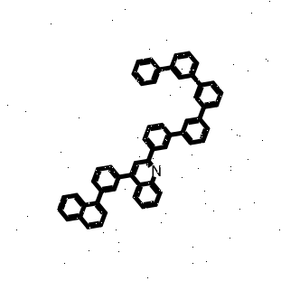 c1ccc(-c2cccc(-c3cccc(-c4cccc(-c5cccc(-c6cc(-c7cccc(-c8cccc9ccccc89)c7)c7ccccc7n6)c5)c4)c3)c2)cc1